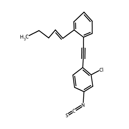 CCCC=Cc1ccccc1C#Cc1ccc(N=C=S)cc1Cl